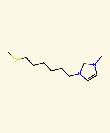 CSCCCCCCN1C=CN(C)C1